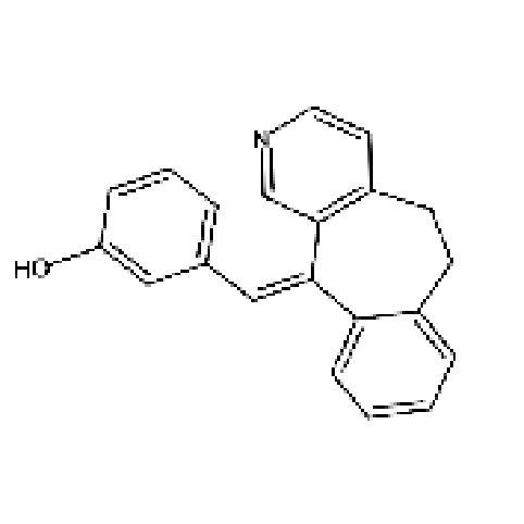 Oc1cccc(/C=C2/c3ccccc3CCc3ccncc32)c1